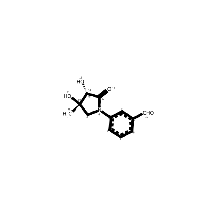 C[C@]1(O)CN(c2cccc(C=O)c2)C(=O)[C@H]1O